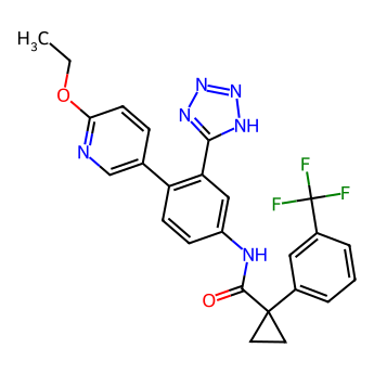 CCOc1ccc(-c2ccc(NC(=O)C3(c4cccc(C(F)(F)F)c4)CC3)cc2-c2nnn[nH]2)cn1